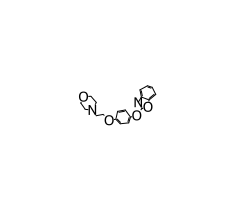 c1ccc2oc(Oc3ccc(OCCN4CCOCC4)cc3)nc2c1